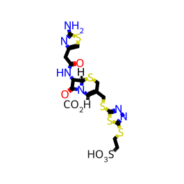 Nc1nc(CC(=O)NC2C(=O)N3C(C(=O)O)=C(CSc4nnc(SCCS(=O)(=O)O)s4)CS[C@@H]23)cs1